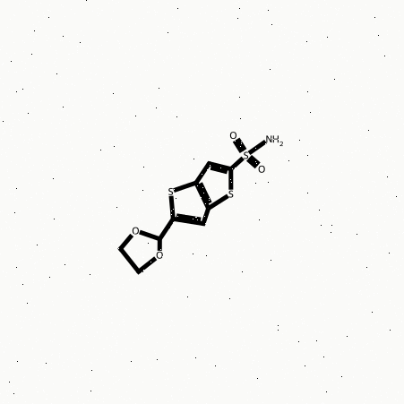 NS(=O)(=O)c1cc2sc(C3OCCO3)cc2s1